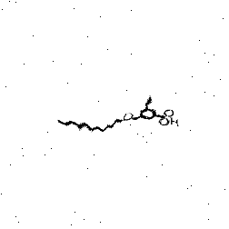 CCCCCCCCCCCCOCc1cc(CC)cc(C(=O)O)c1